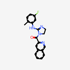 Cc1ccc(F)cc1NC1=NCCN1C(=O)c1cc2ccccc2cn1